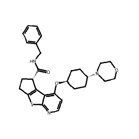 O=C(NCc1ccccc1)[C@H]1CCc2sc3nccc(O[C@H]4CC[C@H](N5CCOCC5)CC4)c3c21